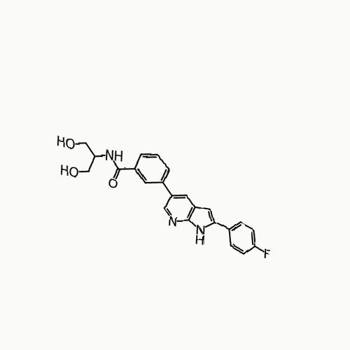 O=C(NC(CO)CO)c1cccc(-c2cnc3[nH]c(-c4ccc(F)cc4)cc3c2)c1